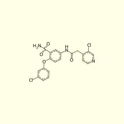 NS(=O)(=O)c1cc(NC(=O)Cc2ccncc2Cl)ccc1Oc1cccc(Cl)c1